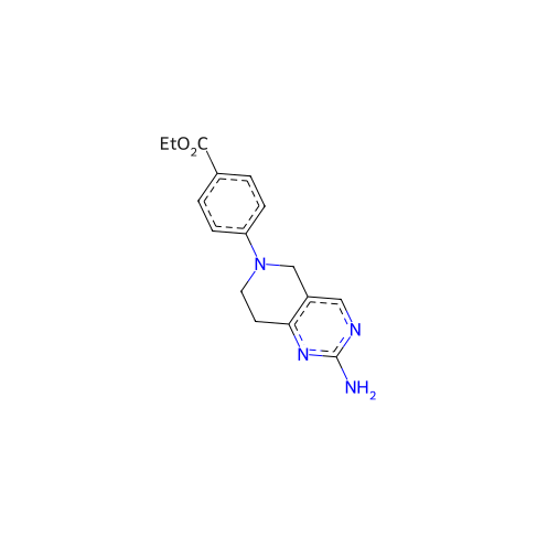 CCOC(=O)c1ccc(N2CCc3nc(N)ncc3C2)cc1